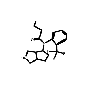 CCCC(=O)N(c1ccccc1C(F)(F)F)C1CCC2CNCC21